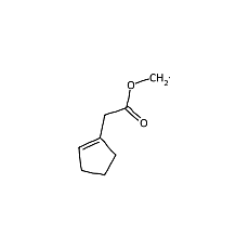 [CH2]OC(=O)CC1=CCCC1